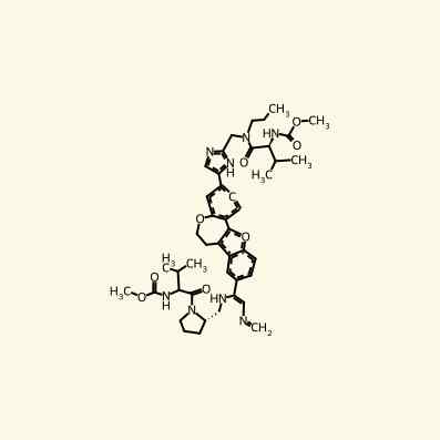 C=N/C=C(\NC[C@@H]1CCCN1C(=O)C(NC(=O)OC)C(C)C)c1ccc2oc3c(c2c1)CCOc1cc(-c2cnc(CN(CCC)C(=O)[C@@H](NC(=O)OC)C(C)C)[nH]2)ccc1-3